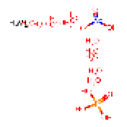 O.O.O.O.O.O.O.O.O.O.O=P(O)(O)O.O=[N+]([O-])O.[MgH2]